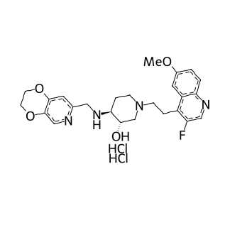 COc1ccc2ncc(F)c(CCN3CC[C@H](NCc4cc5c(cn4)OCCO5)[C@@H](O)C3)c2c1.Cl.Cl